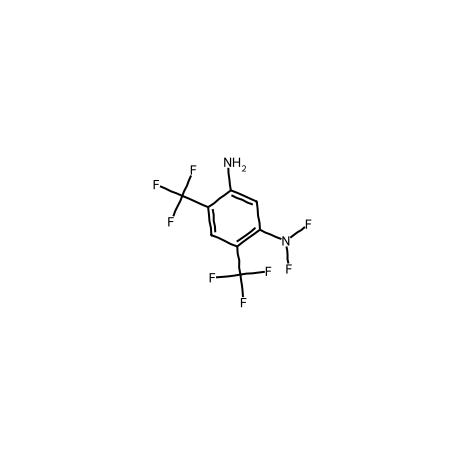 Nc1cc(N(F)F)c(C(F)(F)F)cc1C(F)(F)F